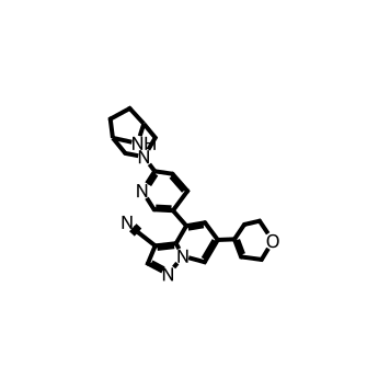 N#Cc1cnn2cc(C3=CCOCC3)cc(-c3ccc(N4CC5CCC(C4)N5)nc3)c12